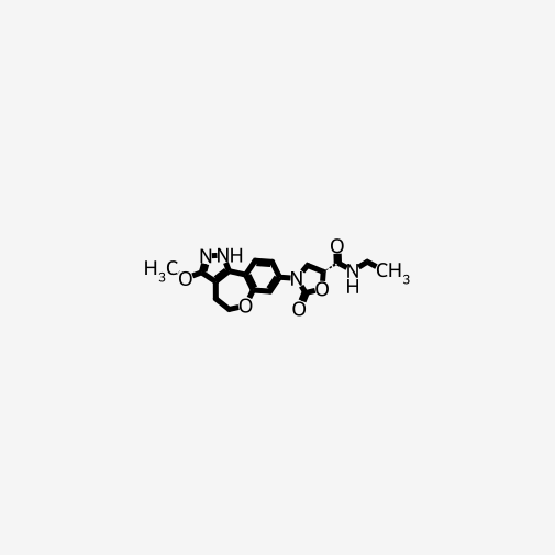 CCNC(=O)[C@H]1CN(c2ccc3c(c2)OCCc2c(OC)n[nH]c2-3)C(=O)O1